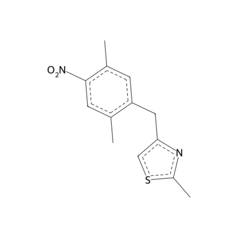 Cc1nc(Cc2cc(C)c([N+](=O)[O-])cc2C)cs1